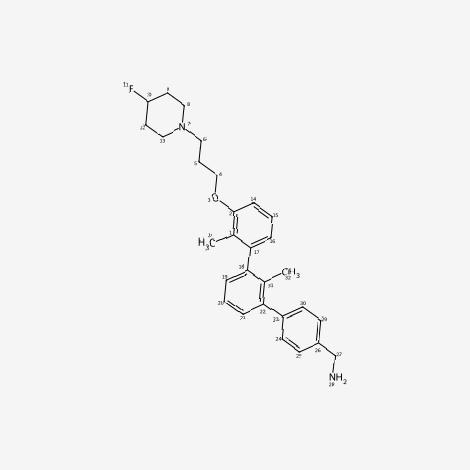 Cc1c(OCCCN2CCC(F)CC2)cccc1-c1cccc(-c2ccc(CN)cc2)c1C